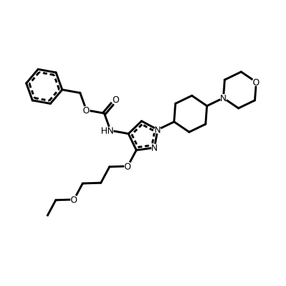 CCOCCCOc1nn(C2CCC(N3CCOCC3)CC2)cc1NC(=O)OCc1ccccc1